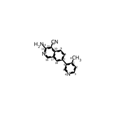 Cc1ccncc1-c1ccc2c(C#N)c(N)ncc2c1